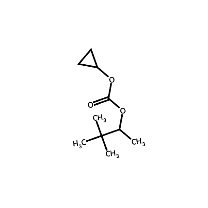 CC(OC(=O)OC1CC1)C(C)(C)C